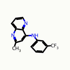 Cc1cc(Nc2cccc(C(F)(F)F)c2)c2ncccc2n1